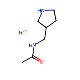 CC(=O)NCC1CCNC1.Cl